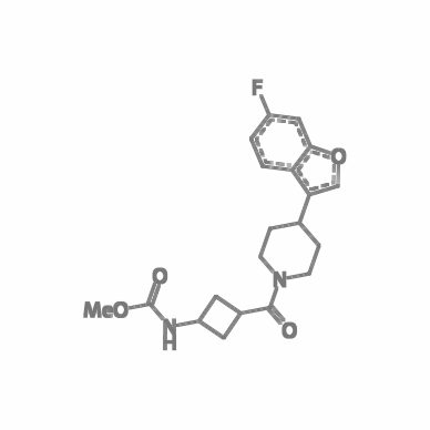 COC(=O)NC1CC(C(=O)N2CCC(c3coc4cc(F)ccc34)CC2)C1